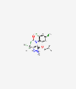 CC(C)COc1c(N(C=O)c2ccc(F)cc2F)c(C(F)(F)F)nn1C